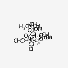 CN(C)C(=O)C(C)(O)c1ccc2c(c1)C(=O)N(Cc1ccc(Cl)cc1)[C@@]2(OCC1(CO[Si](C)(C)C(C)(C)C)CC1)c1ccc(Cl)cc1